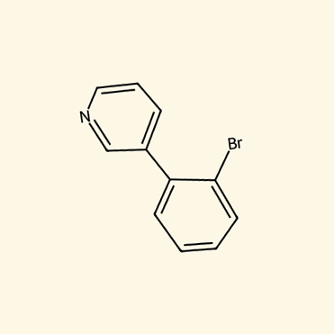 Brc1ccccc1-c1cccnc1